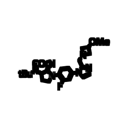 COC1CN(Cc2nccn2-c2ccc(N3CCC(N(C(=O)O)C(C)(C)C)C3=O)c(F)c2)C1